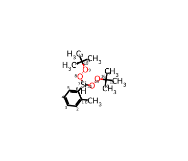 Cc1ccccc1[SiH](OOC(C)(C)C)OOC(C)(C)C